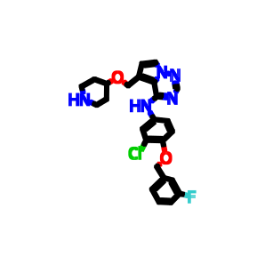 Fc1cccc(COc2ccc(Nc3ncnn4ccc(COC5CCNCC5)c34)cc2Cl)c1